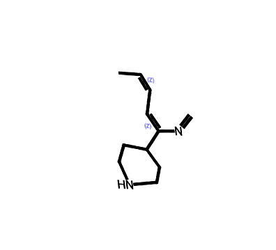 C=N/C(=C\C=C/C)C1CCNCC1